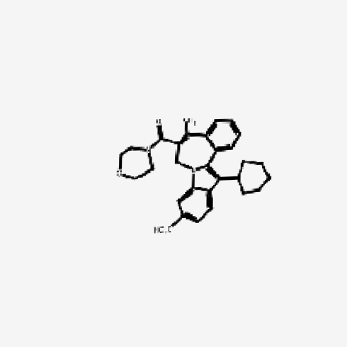 CC1=C(C(=O)N2CCOCC2)Cn2c(c(C3CCCCC3)c3ccc(C(=O)O)cc32)-c2ccccc21